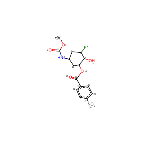 CC(C)(C)OC(=O)NC1CC(F)C(O)C(OC(=O)c2ccc([N+](=O)[O-])cc2)C1